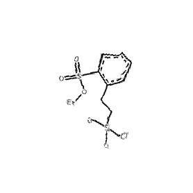 CCOS(=O)(=O)c1ccccc1CC[Si](Cl)(Cl)Cl